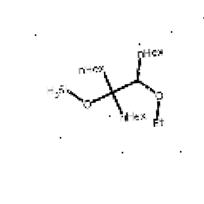 CCCCCCC(OCC)C(CCCCCC)(CCCCCC)O[SiH3]